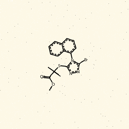 COC(=O)C(C)(C)Sc1nnc(Br)n1-c1cccc2ccccc12